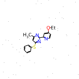 CCOc1ccnc(-c2nc(C)cc(Sc3ccccc3)n2)c1